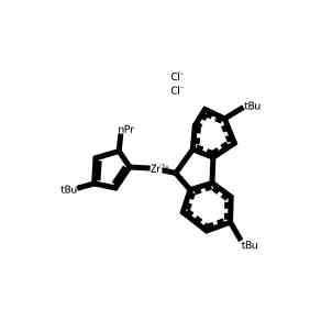 CCCC1C=C(C(C)(C)C)C=[C]1[Zr+2][CH]1c2ccc(C(C)(C)C)cc2-c2cc(C(C)(C)C)ccc21.[Cl-].[Cl-]